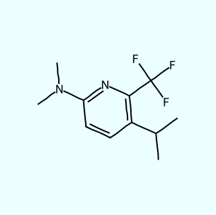 CC(C)c1ccc(N(C)C)nc1C(F)(F)F